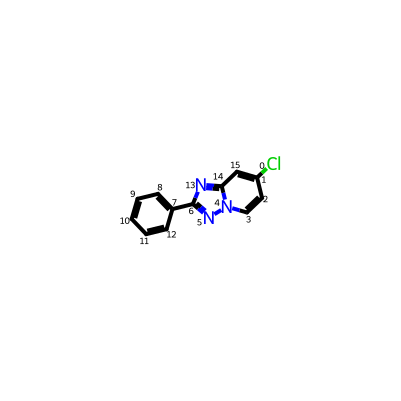 Clc1ccn2nc(-c3ccccc3)nc2c1